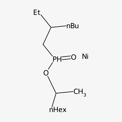 CCCCCCC(C)O[PH](=O)CC(CC)CCCC.[Ni]